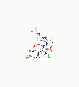 C[C@H]1OCC(=O)[C@H]1N(C(=O)[C@@H](N)CC(C)(C)F)[C@@H](c1ccc(Br)cc1)C(F)(F)F